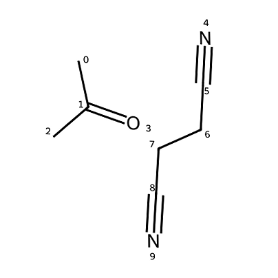 CC(C)=O.N#CCCC#N